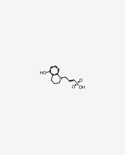 O=S(=O)(O)C=CCN1CCCc2c(O)cccc21